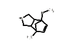 CNC12C=CC(C)(C1)C1CNCC12